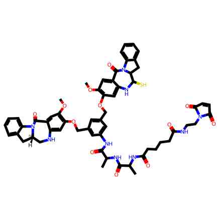 COc1cc2c(cc1OCc1cc(COc3cc4c(cc3OC)C(=O)N3c5ccccc5C[C@H]3CN4)cc(NC(=O)C(C)NC(=O)C(C)NC(=O)CCCCC(=O)NCCN3C(=O)C=CC3=O)c1)NC(S)C1Cc3ccccc3N1C2=O